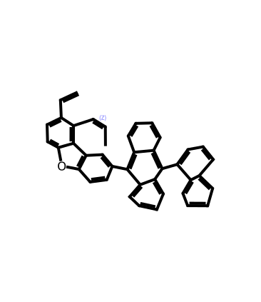 C=Cc1ccc2oc3ccc(-c4c5ccccc5c(-c5cccc6ccccc56)c5ccccc45)cc3c2c1/C=C\C